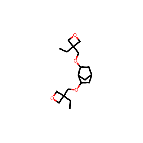 CCC1(COC2CC3CC(OCC4(CC)COC4)C2C3)COC1